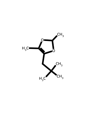 CC1=C(CC(C)(C)C)OC(C)O1